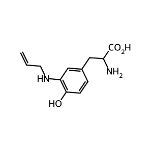 C=CCNc1cc(CC(N)C(=O)O)ccc1O